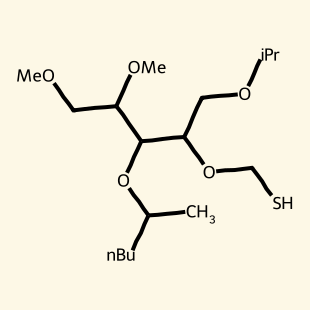 CCCCC(C)OC(C(COC)OC)C(COC(C)C)OCS